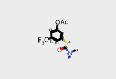 CC(=O)Oc1cc(SC(=O)N(C)C)cc(C(F)(F)F)c1